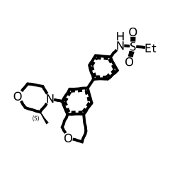 CCS(=O)(=O)Nc1ccc(-c2cc3c(c(N4CCOC[C@@H]4C)c2)COCC3)cc1